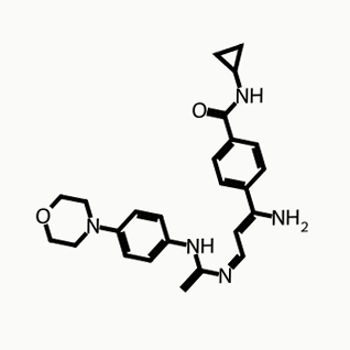 C=C(/N=C\C=C(/N)c1ccc(C(=O)NC2CC2)cc1)Nc1ccc(N2CCOCC2)cc1